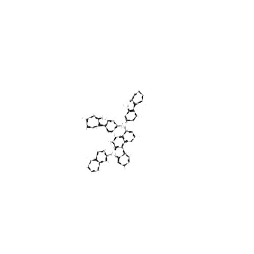 c1ccc2cc(-n3c4ccccc4c4c5cccc(N(c6ccc7c(c6)oc6ccccc67)c6ccc7c(c6)oc6ccccc67)c5ccc43)ccc2c1